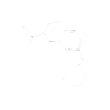 O=C(O)N1CCc2cnc(NC3CCOCC3)nc2C1